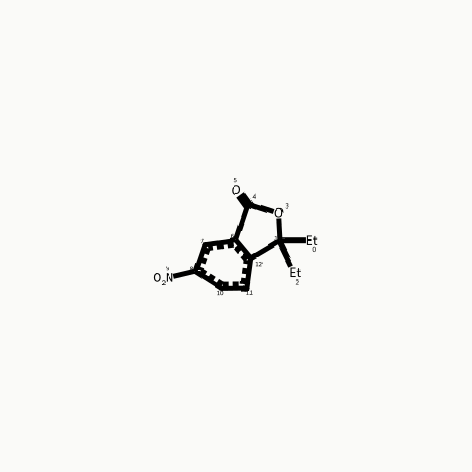 CCC1(CC)OC(=O)c2cc([N+](=O)[O-])ccc21